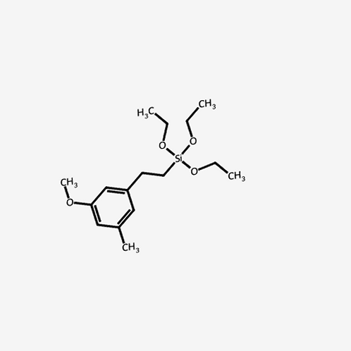 CCO[Si](CCc1cc(C)cc(OC)c1)(OCC)OCC